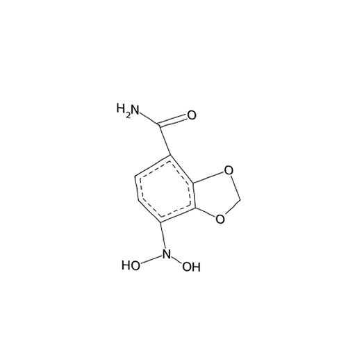 NC(=O)c1ccc(N(O)O)c2c1OCO2